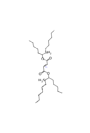 CCCCCC[SiH2]C(CCCCC)OC(=O)/C=C/C(=O)OC(CCCCC)[SiH2]CCCCCC